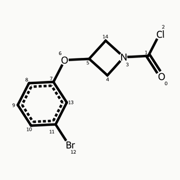 O=C(Cl)N1CC(Oc2cccc(Br)c2)C1